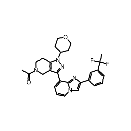 CC(=O)N1CCc2c(c(-c3cccn4cc(-c5cccc(C(C)(F)F)c5)nc34)nn2C2CCOCC2)C1